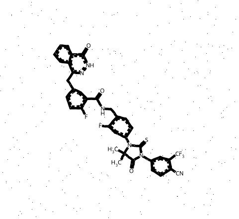 CC1(C)C(=O)N(c2ccc(C#N)c(C(F)(F)F)c2)C(=S)N1c1ccc(CNC(=O)c2cc(Cc3n[nH]c(=O)c4ccccc34)ccc2F)c(F)c1